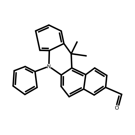 CC1(C)c2ccccc2N(c2ccccc2)c2ccc3cc(C=O)ccc3c21